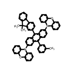 Cc1cccc(-c2c3ccc(N4c5ccccc5Oc5ccccc54)cc3c(-c3ccc4c(c3)C(C)(C)c3ccccc3-4)c3ccc(N4c5ccccc5Oc5ccccc54)cc23)c1